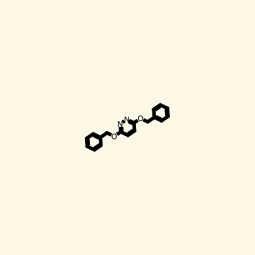 c1ccc(COc2ccc(OCc3ccccc3)nn2)cc1